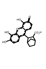 O=C(O)C1C2CCC(C2)C1c1c2ccc(=O)c(O)c-2oc2c(O)c(O)ccc12